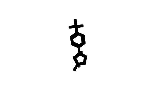 C[C@@H]1CC[C@H](c2ccc(C(C)(C)C)cc2)O1